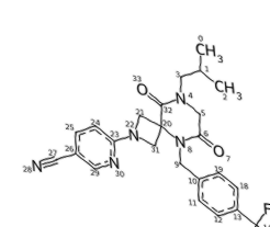 CC(C)CN1CC(=O)N(Cc2ccc(C(F)(F)F)cc2)C2(CN(c3ccc(C#N)cn3)C2)C1=O